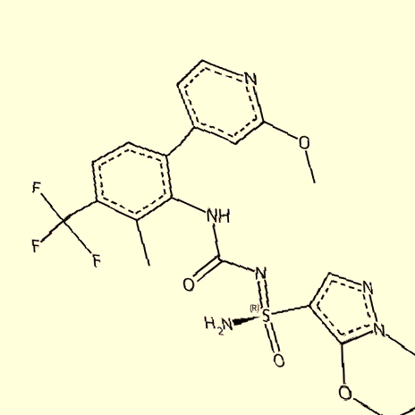 COc1cc(-c2ccc(C(F)(F)F)c(C)c2NC(=O)N=[S@@](N)(=O)c2cnn3c2OCCC3)ccn1